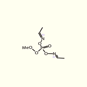 C/C=N/OP(=O)(O/N=C/C)OOC